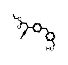 CC#CC(CC(=O)OCC)c1ccc(Cc2ccc(CO)cc2)cc1